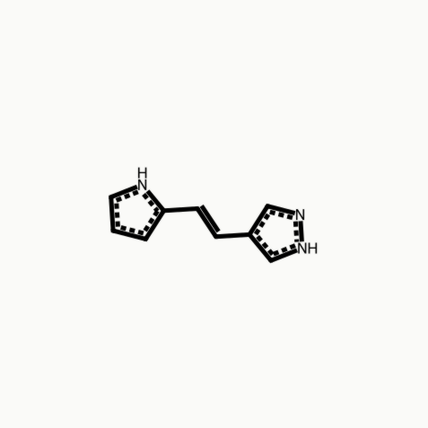 C(=Cc1ccc[nH]1)c1cn[nH]c1